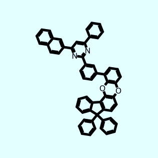 c1ccc(-c2cc(-c3ccc4ccccc4c3)nc(-c3cccc(-c4cccc5c4Oc4c(ccc6c4-c4ccccc4C6(c4ccccc4)c4ccccc4)O5)c3)n2)cc1